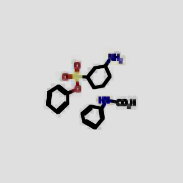 NC1CCCC(S(=O)(=O)Oc2ccccc2)C1.O=C(O)Nc1ccccc1